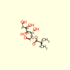 C=C(C)C(=O)O[C@H](C=O)[C@@H](O)[C@@H](O)[C@H](O)CO